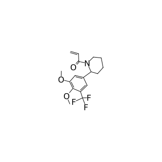 C=CC(=O)N1CCCCC1c1cc(OC)c(OC)c(C(F)(F)F)c1